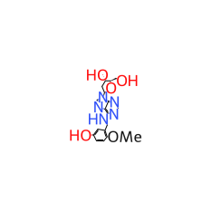 COc1ccc(O)cc1CNc1ncnc2c1ncn2C1C[C@H](O)[C@@H](CO)O1